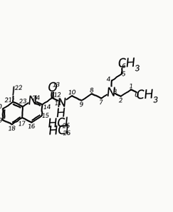 CCCN(CCC)CCCCNC(=O)c1ccc2cccc(I)c2n1.Cl.Cl